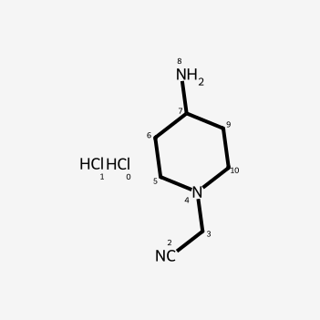 Cl.Cl.N#CCN1CCC(N)CC1